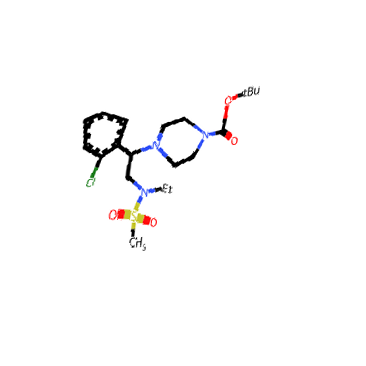 CCN(CC(c1ccccc1Cl)N1CCN(C(=O)OC(C)(C)C)CC1)S(C)(=O)=O